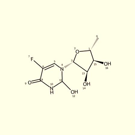 C[C@H]1O[C@@H](N2C=C(F)C(=O)NC2O)[C@H](O)[C@@H]1O